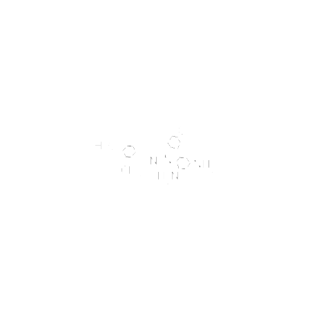 CCc1ccc(CCN2CCN(c3ccc(N)cc3N)[C@H](c3ccc(Cl)cc3)C2)cc1CC